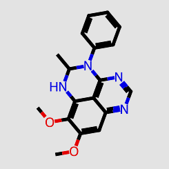 COc1cc2ncnc3c2c(c1OC)NC(C)N3c1ccccc1